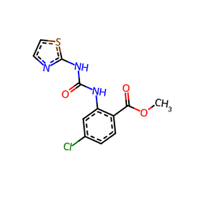 COC(=O)c1ccc(Cl)cc1NC(=O)Nc1nccs1